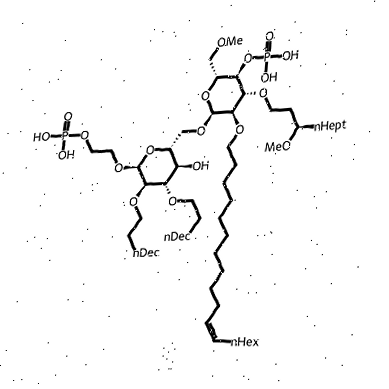 CCCCCC/C=C\CCCCCCCCCCO[C@H]1[C@@H](OC[C@H]2O[C@H](OCCOP(=O)(O)O)[C@H](OCCCCCCCCCCCC)[C@@H](OCCCCCCCCCCCC)[C@@H]2O)O[C@H](COC)[C@@H](OP(=O)(O)O)[C@@H]1OCC[C@@H](CCCCCCC)OC